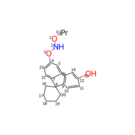 CC(C)ONOc1ccc(C2(c3ccc(O)cc3)CCCCC2)cc1